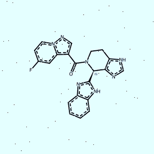 O=C(c1cnn2ccc(F)cc12)N1CCc2[nH]cnc2[C@H]1c1nc2ccccc2[nH]1